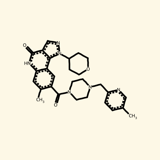 Cc1ccc(CN2CCN(C(=O)c3cc4c(cc3C)[nH]c(=O)c3cnn(C5CCOCC5)c34)CC2)nc1